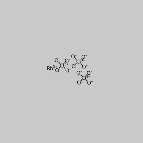 [O-][Cl+3]([O-])([O-])[O-].[O-][Cl+3]([O-])([O-])[O-].[O-][Cl+3]([O-])([O-])[O-].[Rh+3]